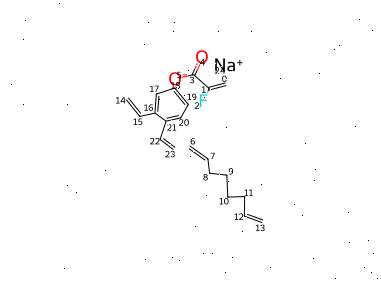 C=C(F)C(=O)[O-].C=CCCCCC=C.C=Cc1ccccc1C=C.[Na+]